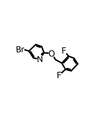 Fc1cccc(F)c1COc1ccc(Br)cn1